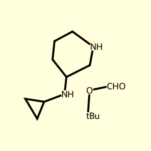 C1CNCC(NC2CC2)C1.CC(C)(C)OC=O